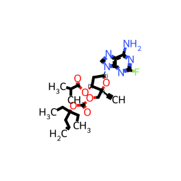 C#C[C@]1(COC(=O)OC(CC)(CC)CC=C)O[C@@H](n2cnc3c(N)nc(F)nc32)C[C@@H]1OC(=O)C(C)C